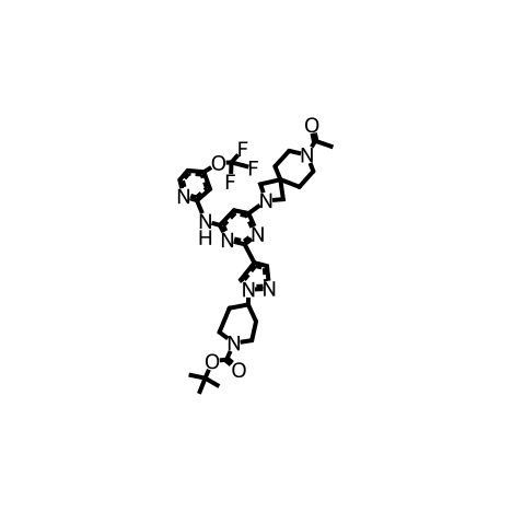 CC(=O)N1CCC2(CC1)CN(c1cc(Nc3cc(OC(F)(F)F)ccn3)nc(-c3cnn(C4CCN(C(=O)OC(C)(C)C)CC4)c3)n1)C2